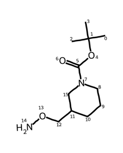 CC(C)(C)OC(=O)N1CCCC(CON)C1